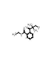 CC(C)(CCl)C(=O)c1ccccc1C(=O)OCN